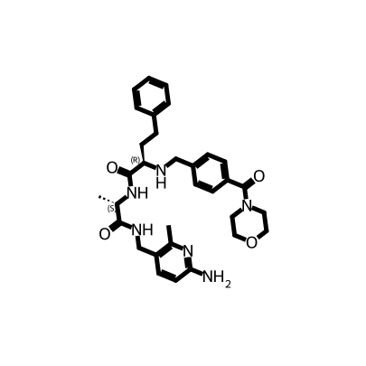 Cc1nc(N)ccc1CNC(=O)[C@H](C)NC(=O)[C@@H](CCc1ccccc1)NCc1ccc(C(=O)N2CCOCC2)cc1